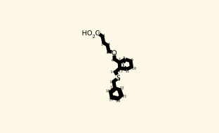 O=C(O)CCCCOCC1C2CCC(O2)C1CSCc1ccccc1